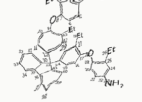 CCc1cc(N)ccc1Oc1ccc(C2(c3ccc(Oc4ccc(N)cc4CC)c(CC)c3)c3ccccc3-c3ccccc32)cc1CC